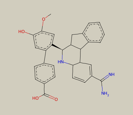 COc1cc([C@@H]2NC3C=CC(C(=N)N)=CC3C3c4ccccc4CC32)c(-c2ccc(C(=O)O)cc2)cc1O